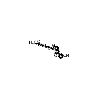 C=CC(=O)OCCOCCOCCn1c(=O)ccc2cc(-c3cccc(C#N)c3)c(=O)oc21